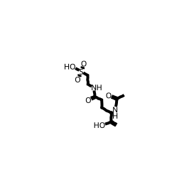 C=C(O)C(CCC(=O)NCCS(=O)(=O)O)NC(C)=O